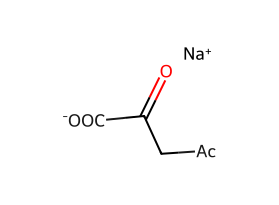 CC(=O)CC(=O)C(=O)[O-].[Na+]